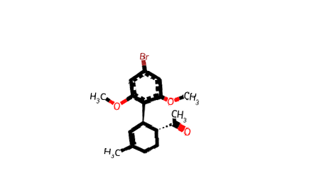 COc1cc(Br)cc(OC)c1[C@@H]1C=C(C)CC[C@H]1C(C)=O